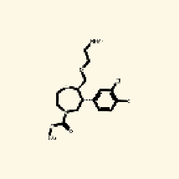 CC(=O)NCCOC[C@@H]1OCCN(C(=O)OC(C)(C)C)C[C@H]1c1ccc(Cl)c(Cl)c1